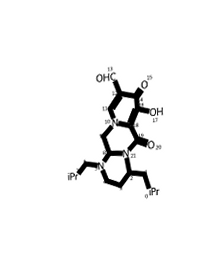 CC(C)CC1CCN(CC(C)C)C2Cn3cc(C=O)c(=O)c(O)c3C(=O)N12